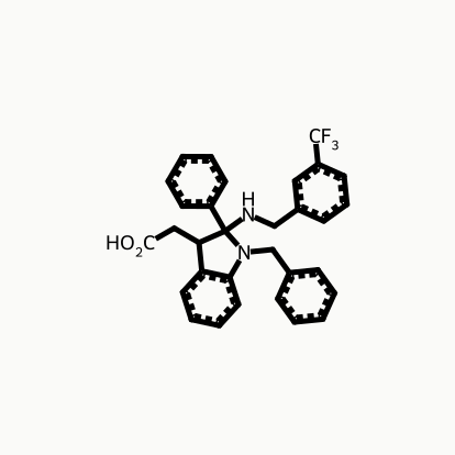 O=C(O)CC1c2ccccc2N(Cc2ccccc2)C1(NCc1cccc(C(F)(F)F)c1)c1ccccc1